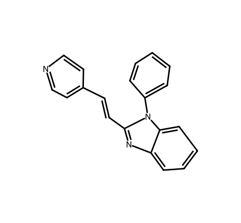 C(=Cc1nc2ccccc2n1-c1ccccc1)c1ccncc1